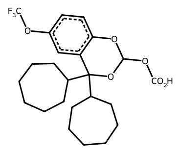 O=C(O)OC1Oc2ccc(OC(F)(F)F)cc2C(C2CCCCCC2)(C2CCCCCC2)O1